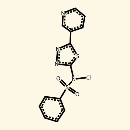 O=S(=O)(c1ccccc1)N(Cl)c1nnc(-c2cccnc2)s1